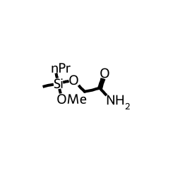 CCC[Si](C)(OC)OCC(N)=O